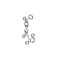 O=C(CCc1c(Cl)cccc1Cl)N1CC(N2CCN(C(=O)c3ccccc3)CC2)C1